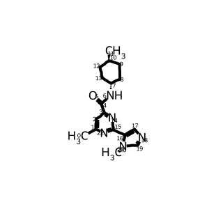 Cc1cc(C(=O)N[C@H]2CC[C@H](C)CC2)nc(-c2cncn2C)n1